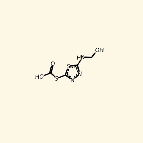 O=C(O)Sc1nnc(NCO)s1